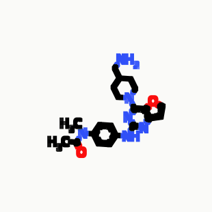 CC(=O)N(C)c1ccc(Nc2nc(N3CCC(CN)CC3)c3occc3n2)cc1